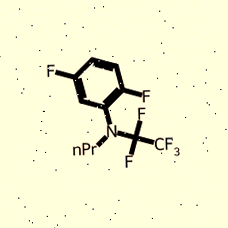 CCCN(c1cc(F)ccc1F)C(F)(F)C(F)(F)F